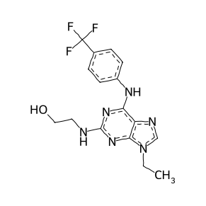 CCn1cnc2c(Nc3ccc(C(F)(F)F)cc3)nc(NCCO)nc21